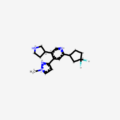 Cn1ccc(-c2cc(C3CCC(F)(F)C3)ncc2C2CCNC2)n1